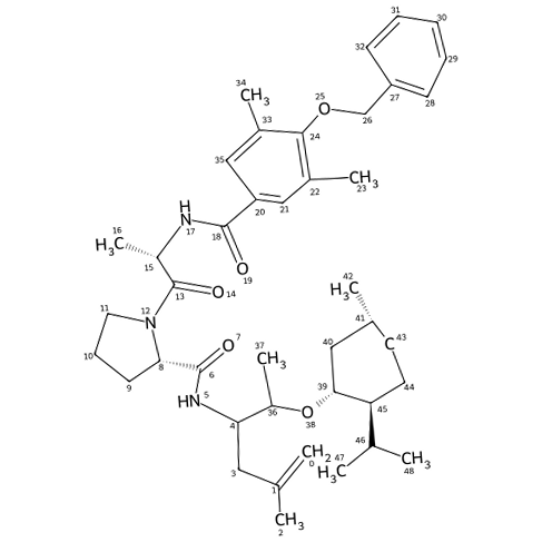 C=C(C)CC(NC(=O)[C@@H]1CCCN1C(=O)[C@H](C)NC(=O)c1cc(C)c(OCc2ccccc2)c(C)c1)C(C)O[C@@H]1C[C@H](C)CC[C@H]1C(C)C